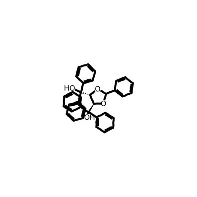 OC(c1ccccc1)(c1ccccc1)[C@@H]1OC(c2ccccc2)O[C@H]1C(O)(c1ccccc1)c1ccccc1